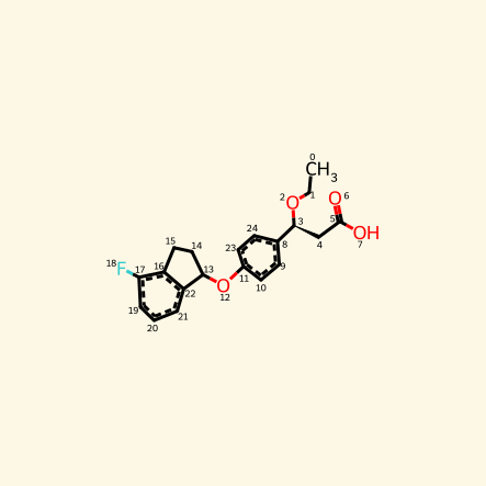 CCO[C@@H](CC(=O)O)c1ccc(OC2CCc3c(F)cccc32)cc1